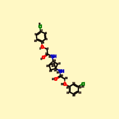 O=C(COc1ccc(Cl)cc1)NC1CC2(NC(=O)COc3cccc(Cl)c3)CC1C2